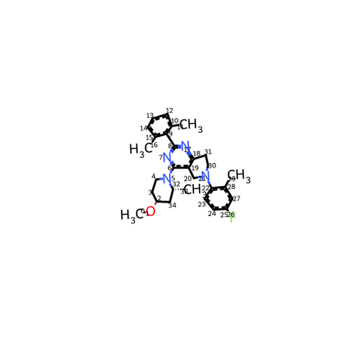 CO[C@@H]1CCN(c2nc(-c3c(C)cccc3C)nc3c2CN(c2ccc(F)cc2C)CC3)[C@H](C)C1